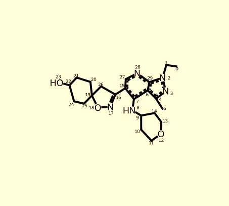 CCn1nc(C)c2c(NC3CCOCC3)c(C3=NOC4(CCC(O)CC4)C3)cnc21